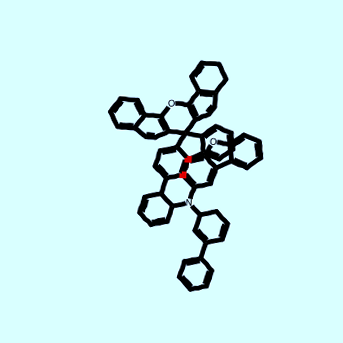 C1=CC(c2ccc3c(c2)-c2ccccc2C32c3ccc4c(c3Oc3c2ccc2ccccc32)C=CCC4)C(N(c2ccc3oc4ccccc4c3c2)C2C=C(c3ccccc3)C=CC2)C=C1